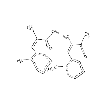 CC(=O)C(C)=Cc1ccccc1C.CC(=O)C(C)=Cc1ccccc1C